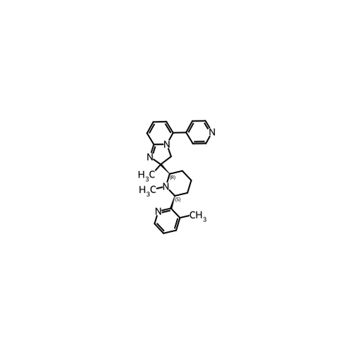 Cc1cccnc1[C@@H]1CCC[C@H](C2(C)CN3C(c4ccncc4)=CC=CC3=N2)N1C